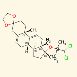 C[C@]12CCC3(CC1=CC[C@@H]1C2=CC[C@@]2(C)[C@H]1CC[C@@]2(C#N)O[Si](C)(C)C(Cl)Cl)OCCO3